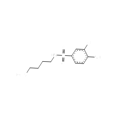 Nc1ccc(S(=O)(=O)NCCCCS(=O)(=O)O)cc1Cl